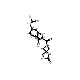 O=C1NC2(CO1)CN(C(=O)c1sc3cc(OC(F)F)ccc3c1Cl)C2